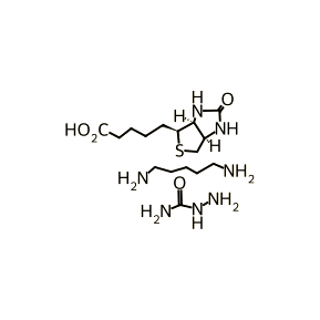 NCCCCCN.NNC(N)=O.O=C(O)CCCC[C@@H]1SC[C@@H]2NC(=O)N[C@@H]21